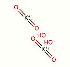 [OH-].[OH-].[O]=[K+]=[O].[O]=[K+]=[O]